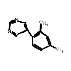 Cc1ccc(-c2cncnc2)c(C)c1